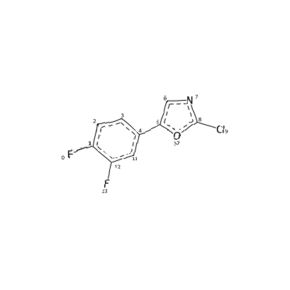 Fc1ccc(-c2cnc(Cl)o2)cc1F